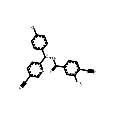 Cc1cc(C(=O)N[C@@H](c2ccc(Cl)cc2)c2ccc(C#N)cn2)ccc1C#N